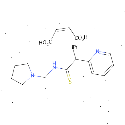 CC(C)C(C(=S)NCN1CCCC1)c1ccccn1.O=C(O)/C=C\C(=O)O